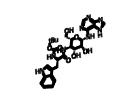 CC(C)(C)OC(=O)N[C@H](Cc1c[nH]c2ccccc12)C(=O)N[C@@H]1[C@@H](O)[C@H](O)[C@@H](Nc2ncnc3nc[nH]c23)O[C@H]1CO